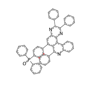 O=P(c1ccccc1)(c1ccccc1)c1ccc(-c2cc3nc(-c4ccccc4)c(-c4ccccc4)nc3c3c2c(-c2ccccc2)nc2ccccc23)cc1